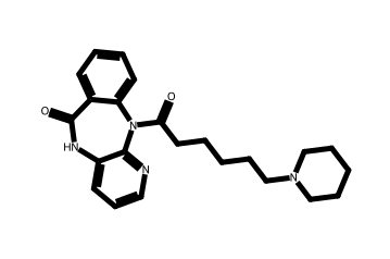 O=C1Nc2cccnc2N(C(=O)CCCCCN2CCCCC2)c2ccccc21